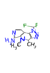 CC1c2nnn(C(F)F)c2-c2ccnc(N)c2N1C